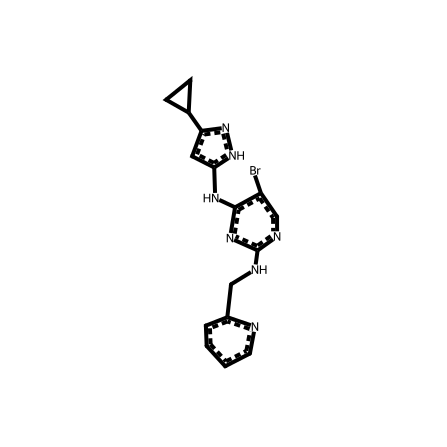 Brc1cnc(NCc2ccccn2)nc1Nc1cc(C2CC2)n[nH]1